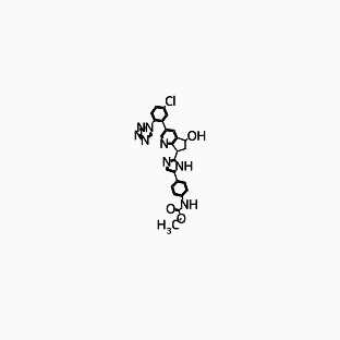 COC(=O)Nc1ccc(-c2cnc(C3CC(O)c4cc(-c5cc(Cl)ccc5-n5cnnn5)cnc43)[nH]2)cc1